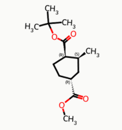 COC(=O)[C@@H]1CC[C@@H](C(=O)OC(C)(C)C)[C@@H](C)C1